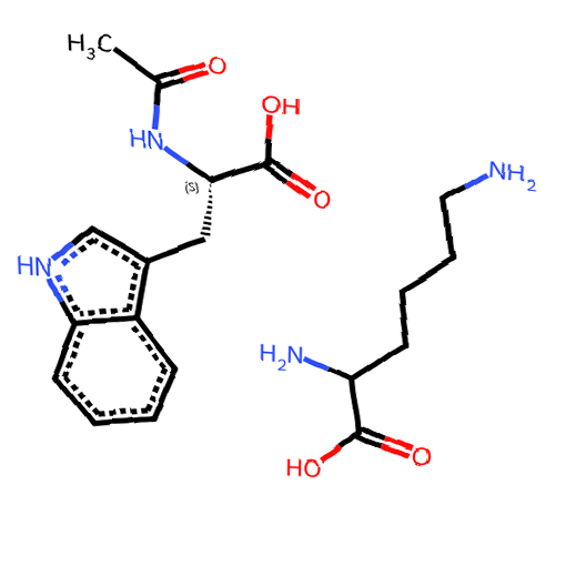 CC(=O)N[C@@H](Cc1c[nH]c2ccccc12)C(=O)O.NCCCCC(N)C(=O)O